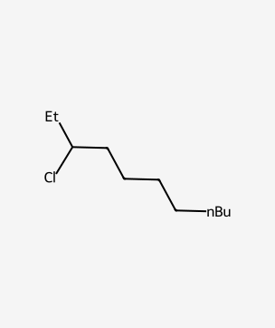 CCCCCCCCC(Cl)CC